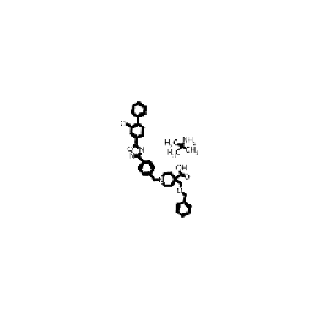 CC(C)(C)N.O=C(O)C1(COCc2ccccc2)CCN(Cc2ccc(-c3noc(-c4ccc(-c5ccccc5)c(Cl)c4)n3)cc2)CC1